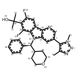 Cc1nnn(C)c1-c1cnc2c3cc(F)c(C(C)(C)O)c(F)c3n([C@H](c3ccccc3)C3CCOCC3)c2c1